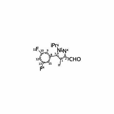 Cc1c(C=O)nn(C(C)C)c1-c1cc(F)cc(F)c1